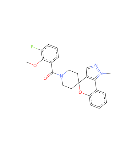 COc1c(F)cccc1C(=O)N1CCC2(CC1)Oc1ccccc1-c1c2cnn1C